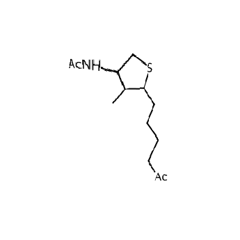 CC(=O)CCCCC1SCC(NC(C)=O)C1C